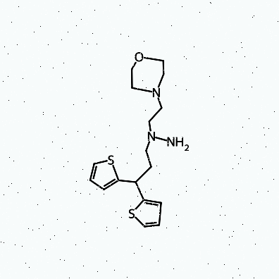 NN(CCC(c1cccs1)c1cccs1)CCN1CCOCC1